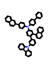 c1ccc(-c2ccc(N(c3ccc(-c4ccc5ccccc5c4)cc3)c3ccc(-c4cccc(-n5c6ccccc6c6ccccc65)c4)c(-c4cccc5ccccc45)c3)cc2)cc1